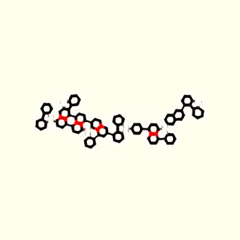 c1ccc(-c2ccccc2N(c2ccc(-c3ccc(-n4c5ccccc5c5c(-c6cccc(-c7ccccc7N(c7ccc(-c8ccc(-n9c%10ccccc%10c%10ccccc%109)cc8)cc7)c7ccccc7-c7ccc(-c8cccc9oc%10ccccc%10c89)cc7)c6)cccc54)cc3)cc2)c2ccc3cc(-c4cccc5oc6ccccc6c45)ccc3c2)cc1